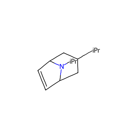 CC(C)C1CC2C=CC(C1)N2C(C)C